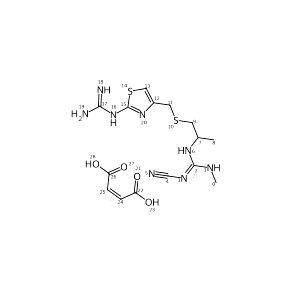 CN/C(=N/C#N)NC(C)CSCc1csc(NC(=N)N)n1.O=C(O)/C=C\C(=O)O